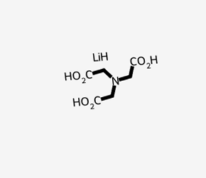 O=C(O)CN(CC(=O)O)CC(=O)O.[LiH]